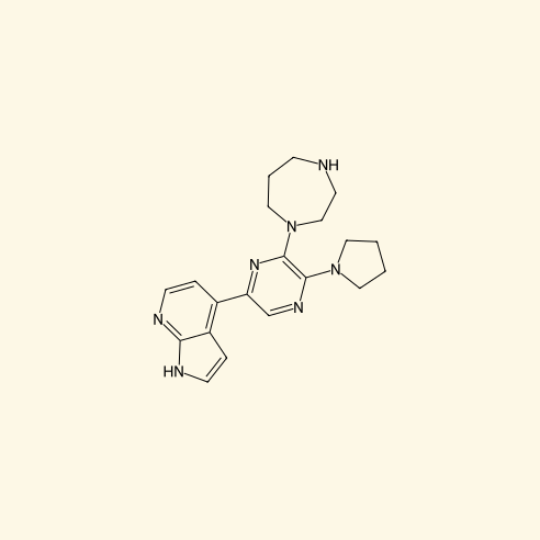 c1cc(-c2cnc(N3CCCC3)c(N3CCCNCC3)n2)c2cc[nH]c2n1